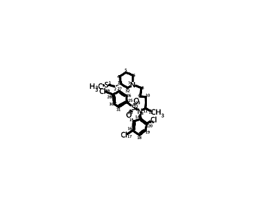 CSC[C@@H]1CCCN(CCCC(C)N(c2cc(Cl)ccc2Cl)S(=O)(=O)c2ccc(Cl)cc2)C1